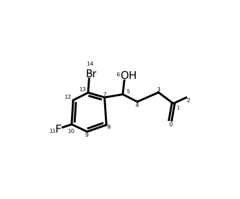 C=C(C)CCC(O)c1ccc(F)cc1Br